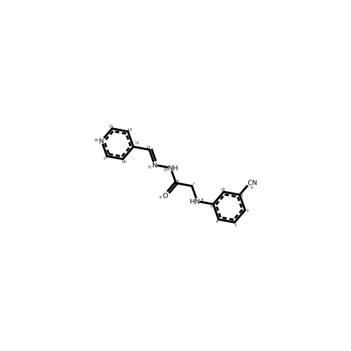 N#Cc1cccc(NCC(=O)N/N=C/c2ccncc2)c1